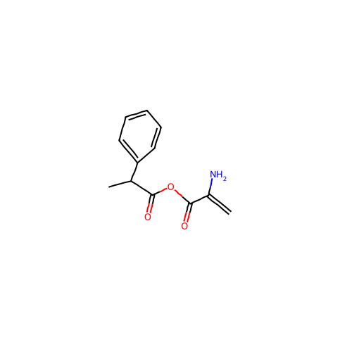 C=C(N)C(=O)OC(=O)C(C)c1ccccc1